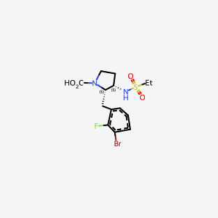 CCS(=O)(=O)N[C@H]1CCN(C(=O)O)[C@H]1Cc1cccc(Br)c1F